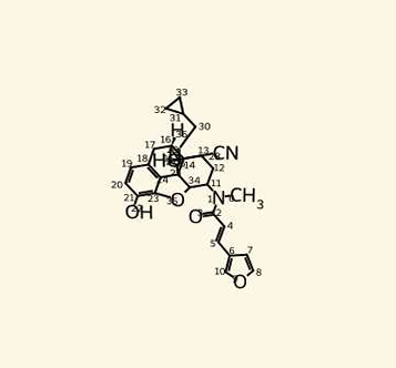 CN(C(=O)/C=C/c1ccoc1)C1CC[C@@]2(O)[C@H]3Cc4ccc(O)c5c4[C@@]2(CC(C#N)N3CC2CC2)C1O5